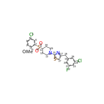 COc1ccc(Cl)cc1S(=O)(=O)C1CCN(c2nc(Cc3cc(F)cc(Cl)c3)cs2)CC1